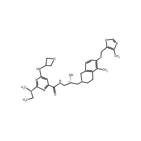 CCN(C)c1nc(NC2COC2)cc(C(=O)NC[C@H](O)CN2CCc3c(ccc(OCc4ocnc4C)c3C)C2)n1